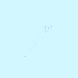 CC12CCCCC1(C)N(c1nccc3ccccc13)c1ccc(-c3ccc4c5cc6c(cc5c5cccc3c54)c3ccc(-c4ccc5c(c4)C4(C)CCCCC4(C)N5c4nccc5ccccc45)c4c(-c5ccc7c(c5)C5(C)CCCCC5(C)N7c5nccc7ccccc57)ccc6c43)cc12